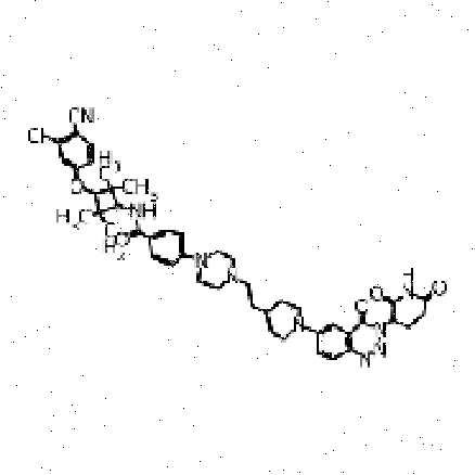 CC1(C)C(NC(=O)c2ccc(N3CCN(CCC4CCN(c5ccc6nnn(C7CCC(=O)NC7=O)c(=O)c6c5)CC4)CC3)cc2)C(C)(C)C1Oc1ccc(C#N)c(Cl)c1